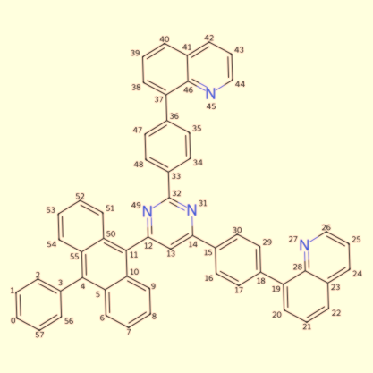 c1ccc(-c2c3ccccc3c(-c3cc(-c4ccc(-c5cccc6cccnc56)cc4)nc(-c4ccc(-c5cccc6cccnc56)cc4)n3)c3ccccc23)cc1